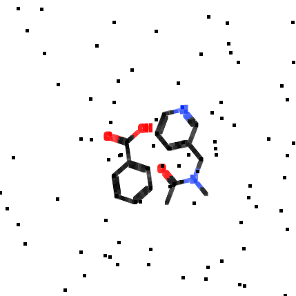 CC(=O)N(C)Cc1cccnc1.O=C(O)c1ccccc1